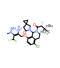 CCCC[C@](C)(C(=O)O)[C@@H](C)C(=O)N1CCc2c(Cl)ccc(OC/C(N)=C(\C(F)F)N(C)N)c2C1N1CC2(CC2)CC1=O